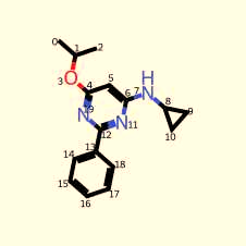 CC(C)Oc1cc(NC2CC2)nc(-c2ccccc2)n1